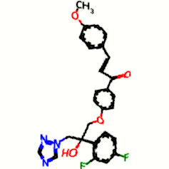 COc1ccc(/C=C/C(=O)c2ccc(OC[C@@](O)(Cn3cncn3)c3ccc(F)cc3F)cc2)cc1